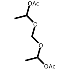 CC(=O)OC(C)OCOC(C)OC(C)=O